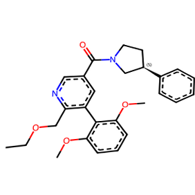 CCOCc1ncc(C(=O)N2CC[C@@H](c3ccccc3)C2)cc1-c1c(OC)cccc1OC